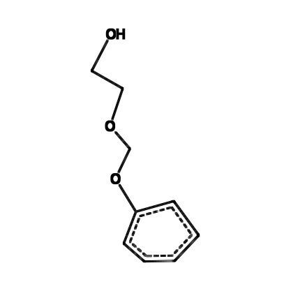 OCCOCOc1ccccc1